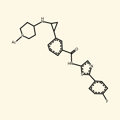 CC(=O)N1CCC(NC2CC2c2cccc(C(=O)Nc3cnc(-c4ccc(F)cc4)s3)c2)CC1